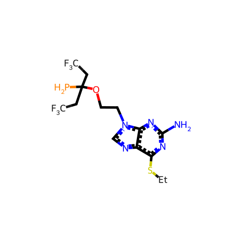 CCSc1nc(N)nc2c1ncn2CCOC(P)(CC(F)(F)F)CC(F)(F)F